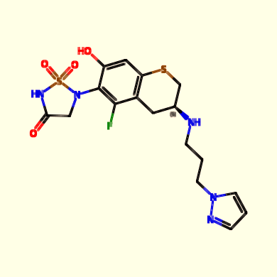 O=C1CN(c2c(O)cc3c(c2F)C[C@H](NCCCn2cccn2)CS3)S(=O)(=O)N1